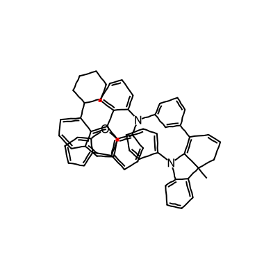 CC12CC=CC(c3cccc(N(c4ccccc4-c4cccc5cccc(C6CCCCC6)c45)c4cccc5c4oc4ccccc45)c3)=C1N(c1ccccc1)c1ccccc12